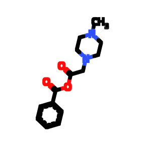 CN1CCN(CC(=O)OC(=O)c2ccccc2)CC1